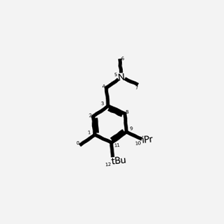 Cc1cc(CN(C)C)cc(C(C)C)c1C(C)(C)C